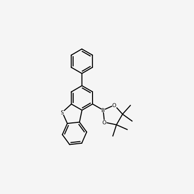 CC1(C)OB(c2cc(-c3ccccc3)cc3sc4ccccc4c23)OC1(C)C